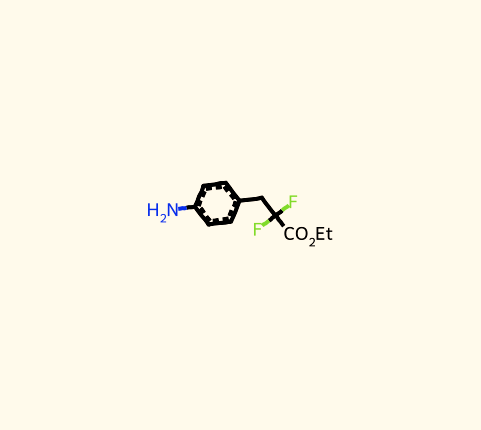 CCOC(=O)C(F)(F)Cc1ccc(N)cc1